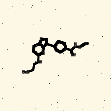 COCCNc1ccn2ncc(-c3ccc(C(=N)NN=N)cc3)c2n1